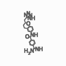 N=C(N)c1ccc(C(=O)Nc2ccc3c(c2)CCC(Cc2nnn[nH]2)O3)cc1